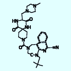 CN1CCN(CC2NC(=O)C3(CCN(C(=O)N4CCN(CC(C)(C)C)c5nc(C#N)c6ccccc6c5C4)CC3)NC2=O)CC1